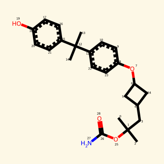 CC(C)(CC1CC(Oc2ccc(C(C)(C)c3ccc(O)cc3)cc2)C1)OC(N)=O